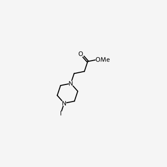 COC(=O)CCN1CCN(I)CC1